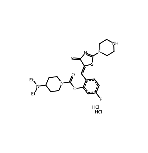 CCN(CC)C1CCN(C(=O)Oc2cc(F)ccc2/C=C2\SC(N3CCNCC3)=NC2=S)CC1.Cl.Cl